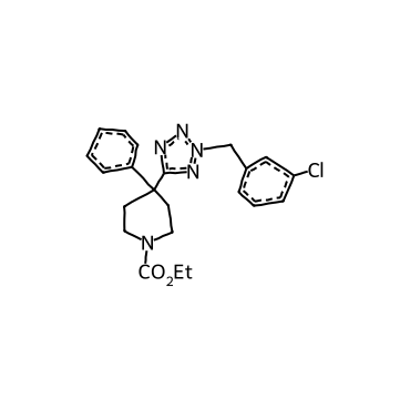 CCOC(=O)N1CCC(c2ccccc2)(c2nnn(Cc3cccc(Cl)c3)n2)CC1